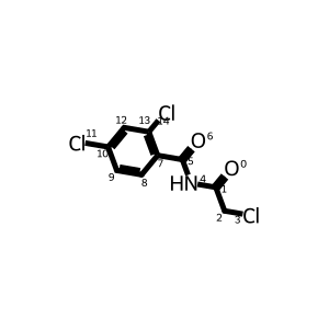 O=C(CCl)NC(=O)c1ccc(Cl)cc1Cl